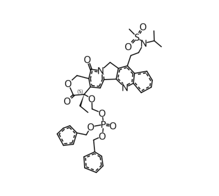 CC[C@@]1(OCOP(=O)(OCc2ccccc2)OCc2ccccc2)C(=O)OCc2c1cc1n(c2=O)Cc2c-1nc1ccccc1c2CCN(C(C)C)S(C)(=O)=O